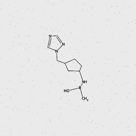 CB(O)NC1CCC(Cn2cncn2)C1